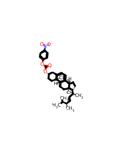 CC(C)[C@@H](C)C=C[C@@H](C)[C@H]1CC[C@H]2C3=CC=C4C[C@@H](OC(=O)Oc5ccc([N+](=O)[O-])cc5)CC[C@]4(C)[C@H]3CC[C@]12C